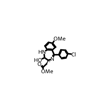 COC(=O)C[C@@H]1N=C(c2ccc(Cl)cc2)c2cc(OC)ccc2NC1O